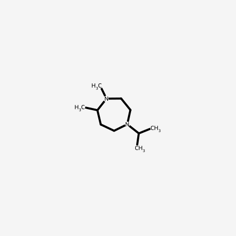 CC1CCN(C(C)C)CCN1C